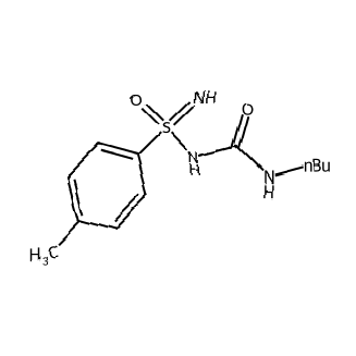 CCCCNC(=O)NS(=N)(=O)c1ccc(C)cc1